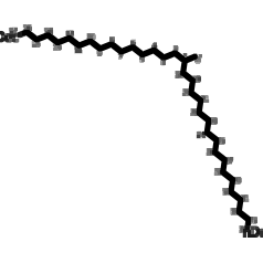 [CH2]C(CCCCCCCCCCCCCCCCCCCCCCCCC)CCCCCCCCCCCCCCCCCCCCCCCCCC